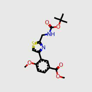 COC(=O)c1ccc(OC)c(-c2csc(CNC(=O)OC(C)(C)C)n2)c1